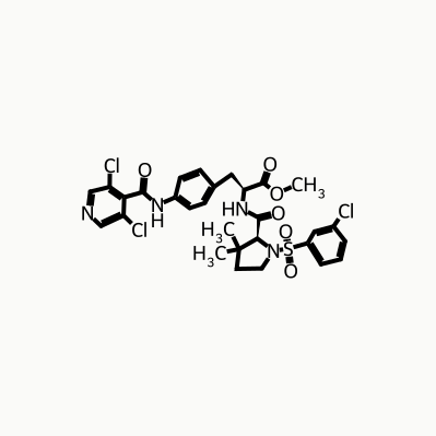 COC(=O)[C@H](Cc1ccc(NC(=O)c2c(Cl)cncc2Cl)cc1)NC(=O)[C@H]1N(S(=O)(=O)c2cccc(Cl)c2)CCC1(C)C